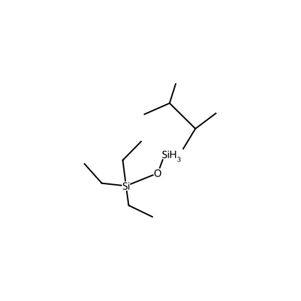 CC(C)C(C)C.CC[Si](CC)(CC)O[SiH3]